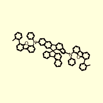 Cc1ccccc1-c1cccc2c1oc1c(N(c3ccccc3)c3ccc4cc5c(cc4c3)C3(c4ccccc4-c4c3ccc3ccccc43)c3c-5ccc4cc(N(c5ccccc5)c5cccc6c5oc5c(-c7ccccc7C)cccc56)ccc34)cccc12